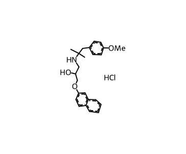 COc1ccc(CC(C)(C)NCC(O)COc2ccc3ccccc3c2)cc1.Cl